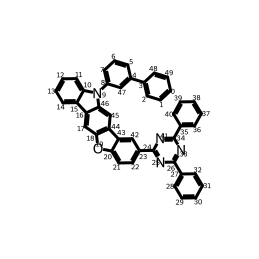 c1ccc(-c2cccc(-n3c4ccccc4c4cc5oc6ccc(-c7nc(-c8ccccc8)nc(-c8ccccc8)n7)cc6c5cc43)c2)cc1